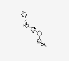 Cn1cc(C2C=CC=C(c3ncc(-c4cnn(CCc5ccncc5)c4)cn3)C2)cn1